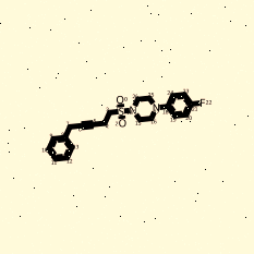 O=S(=O)(CCC#CCc1ccccc1)N1CCN(c2ccc(F)cc2)CC1